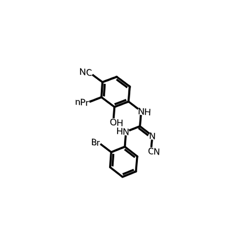 CCCc1c(C#N)ccc(N/C(=N/C#N)Nc2ccccc2Br)c1O